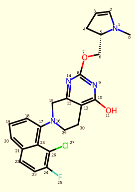 CN1C=CC[C@H]1COc1nc(O)c2c(n1)CN(c1cccc3ccc(F)c(Cl)c13)CC2